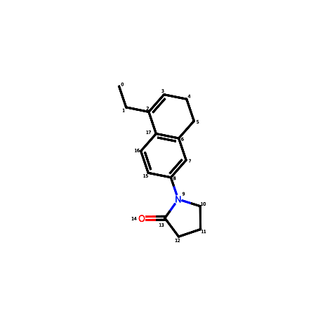 CCC1=CCCc2cc(N3CCCC3=O)ccc21